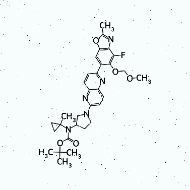 COCOc1c(-c2ccc3nc(N4CCC(N(C(=O)OC(C)(C)C)C5(C)CC5)C4)ccc3n2)cc2oc(C)nc2c1F